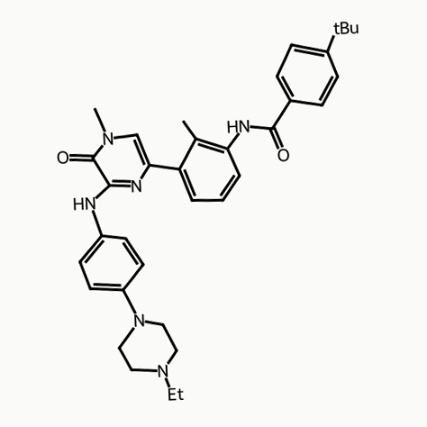 CCN1CCN(c2ccc(Nc3nc(-c4cccc(NC(=O)c5ccc(C(C)(C)C)cc5)c4C)cn(C)c3=O)cc2)CC1